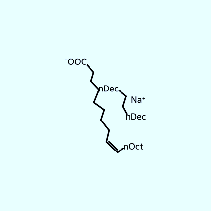 CCCCCCCC/C=C\CCCCCCCC(=O)[O-].CCCCCCCCCCCCCCCCCCCCCC.[Na+]